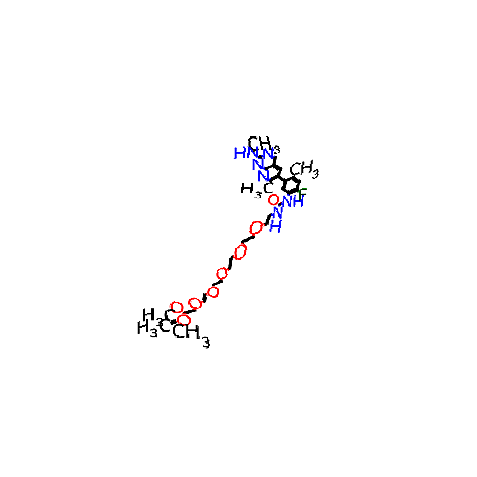 CNc1ncc2cc(-c3cc(NC(=O)NCCOCCOCCOCCOCCOCC(=O)OC(C)(C)C)c(F)cc3C)c(C)nc2n1